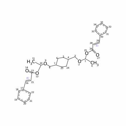 CC(OCC1CCC(COC(C)OC(=O)/C=C/c2ccccc2)CC1)OC(=O)/C=C/c1ccccc1